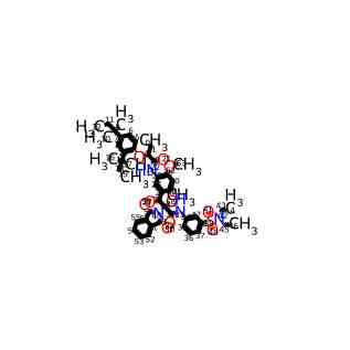 CCC(Oc1ccc(C(C)(C)CC)cc1C(C)(C)CC)C(=O)Nc1cc(C(=O)C(OC)(C(=O)Nc2cccc(S(=O)(=O)N(CC)CC)c2)N2C(=O)c3ccccc3C2=O)ccc1OC